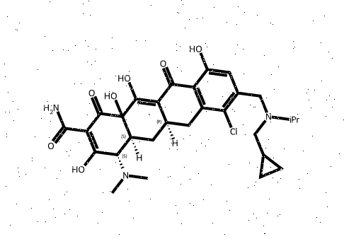 CC(C)N(Cc1cc(O)c2c(c1Cl)C[C@H]1C[C@H]3[C@H](N(C)C)C(O)=C(C(N)=O)C(=O)C3(O)C(O)=C1C2=O)CC1CC1